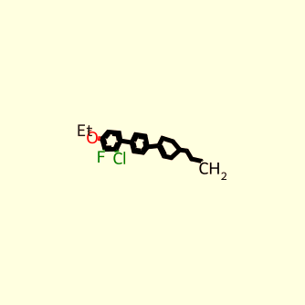 C=CCCC1CC=C(c2ccc(-c3ccc(OCC)c(F)c3Cl)cc2)CC1